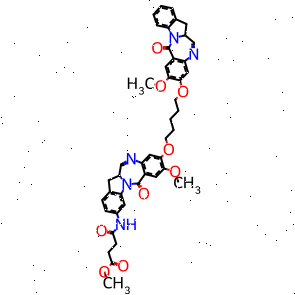 COC(=O)CCC(=O)Nc1ccc2c(c1)N1C(=O)c3cc(OC)c(OCCCCCOc4cc5c(cc4OC)C(=O)N4c6ccccc6CC4C=N5)cc3N=CC1C2